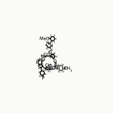 COc1ccccc1-c1nccc(COc2ccc3cc2C[C@H](C(=O)O)Oc2ncnc4sc(-c5ccc(F)cc5)c(c24)-c2ccc(c(Cl)c2C)O[C@@H](CN2CCN(C)CC2)CO3)n1